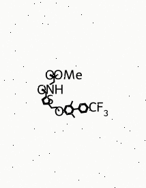 COC(=O)CCNC(=O)c1ccc(CCOc2cc(C)c(-c3ccc(C(F)(F)F)cc3)c(C)c2)s1